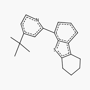 CC(C)(C)c1ccnc(-c2cccc3c4c(sc23)CCCC4)c1